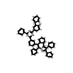 c1ccc(-c2nc(-c3cccc(-c4c(-c5ccccc5)n5nc(-c6ccccc6)c(-c6ccccc6)c5c5ccccc45)c3)nc(-c3ccc4oc5ccccc5c4c3)n2)cc1